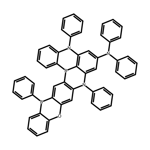 c1ccc(B2c3ccccc3Oc3cc4c(cc32)B2c3ccccc3N(c3ccccc3)c3cc(N(c5ccccc5)c5ccccc5)cc(c32)N4c2ccccc2)cc1